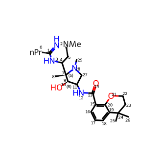 CCCC(=N)NC(CNC)[C@@]1(C)[C@H](O)C(NC(=O)c2cccc3c2OCCC3(C)C)CN1C